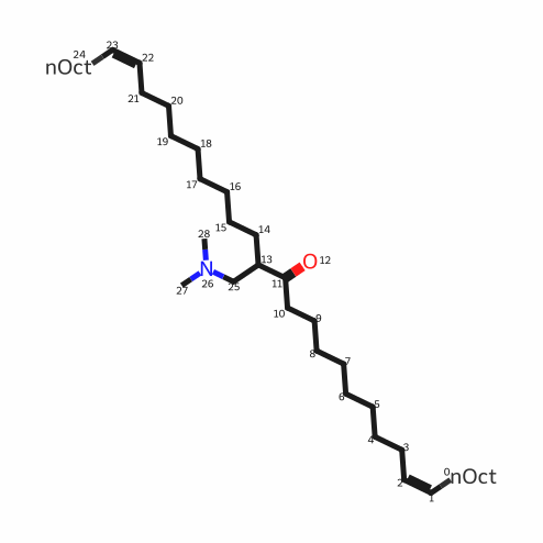 CCCCCCCC/C=C\CCCCCCCCC(=O)C(CCCCCCCC/C=C\CCCCCCCC)CN(C)C